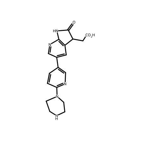 O=C(O)CC1C(=O)Nc2ncc(-c3ccc(N4CCNCC4)nc3)cc21